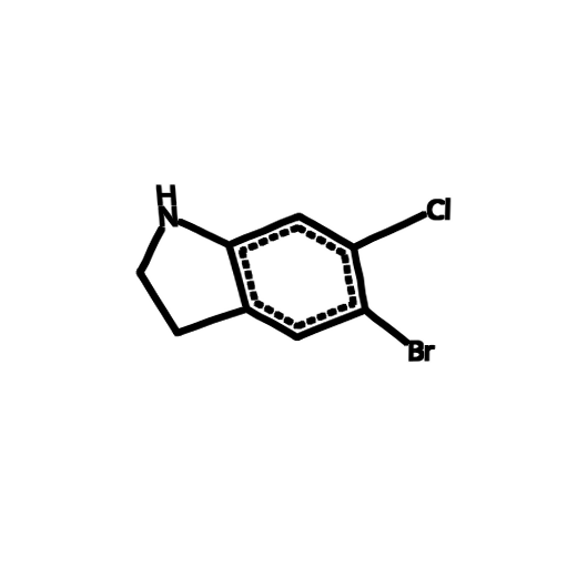 Clc1cc2c(cc1Br)CCN2